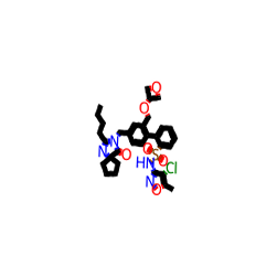 CCCCC1=NC2(CCCC2)C(=O)N1Cc1ccc(-c2ccccc2S(=O)(=O)Nc2noc(C)c2Cl)c(COC2COC2)c1